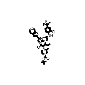 CCc1c(N2CCN(C(=O)OC(C)(C)C)CC2C)c(=O)n2nc(-c3cc4c(s3)COCC4)nc2n1CC(=O)Nc1ccc(C(F)(F)F)cc1Cl